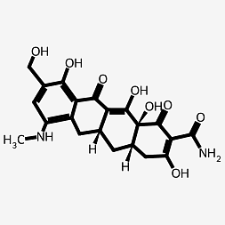 CNc1cc(CO)c(O)c2c1C[C@H]1C[C@H]3CC(O)=C(C(N)=O)C(=O)[C@@]3(O)C(O)=C1C2=O